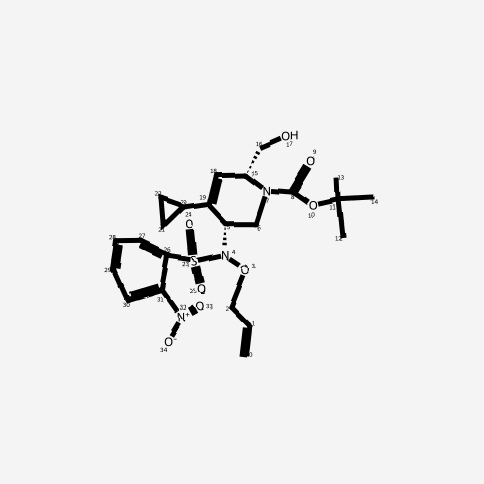 C=CCON([C@H]1CN(C(=O)OC(C)(C)C)[C@@H](CO)C=C1C1CC1)S(=O)(=O)c1ccccc1[N+](=O)[O-]